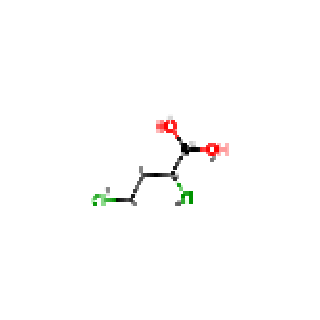 OB(O)C(Cl)CCCl